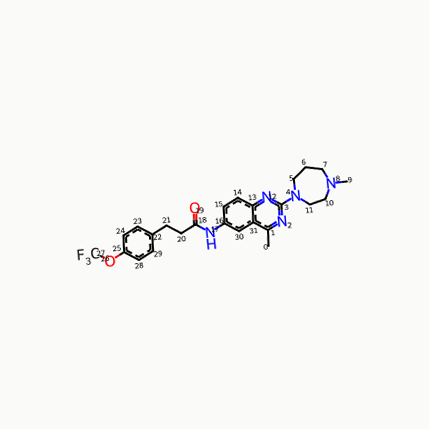 Cc1nc(N2CCCN(C)CC2)nc2ccc(NC(=O)CCc3ccc(OC(F)(F)F)cc3)cc12